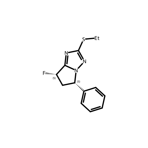 CCSc1nc2n(n1)[C@H](c1ccccc1)C[C@@H]2F